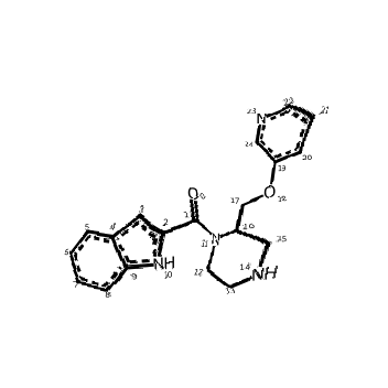 O=C(c1cc2ccccc2[nH]1)N1CCNCC1COc1cccnc1